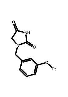 CCOc1cccc(CN2CC(=O)NC2=O)c1